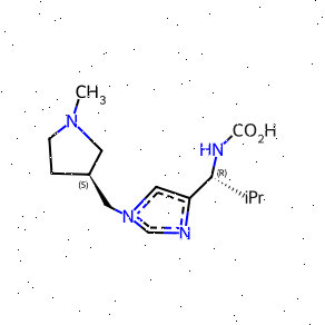 CC(C)[C@@H](NC(=O)O)c1cn(C[C@H]2CCN(C)C2)cn1